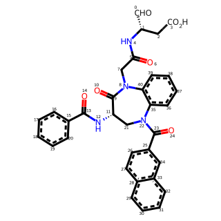 O=C[C@H](CC(=O)O)NC(=O)CN1C(=O)[C@@H](NC(=O)c2ccccc2)CN(C(=O)c2ccc3ccccc3c2)c2ccccc21